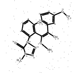 C/C(=C(\ON)c1c(C)cccc1-n1nnn(C)c1=O)c1cccc(OC(F)(F)F)c1